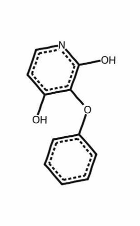 Oc1ccnc(O)c1Oc1ccccc1